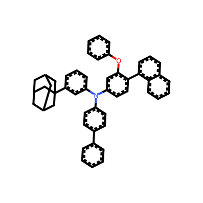 c1ccc(Oc2cc(N(c3ccc(-c4ccccc4)cc3)c3cccc(C45CC6CC(CC(C6)C4)C5)c3)ccc2-c2cccc3ccccc23)cc1